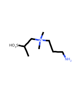 CC(C[N+](C)(C)CCCN)S(=O)(=O)O